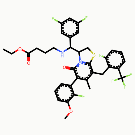 CCOC(=O)CCCNC(c1cc(F)cc(F)c1)C1CSc2c(Cc3c(F)cccc3C(F)(F)F)c(C)c(-c3cccc(OC)c3F)c(=O)n21